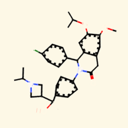 COc1cc2c(cc1OC(C)C)C(c1ccc(Cl)cc1)N(c1ccc([C@@](C)(O)C3CN(C(C)C)C3)cc1)C(=O)C2